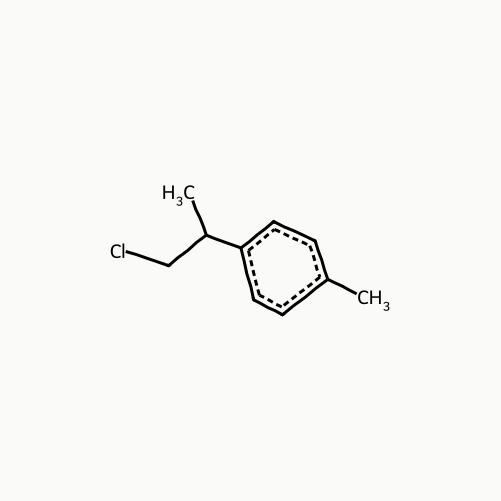 Cc1ccc(C(C)CCl)cc1